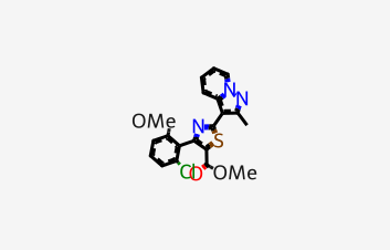 COC(=O)c1sc(-c2c(C)nn3ccccc23)nc1-c1c(Cl)cccc1OC